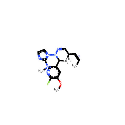 C/C=C\C(C)/C=N\N(C(C)c1cnc(F)c(OC)c1)n1ccnc1NC